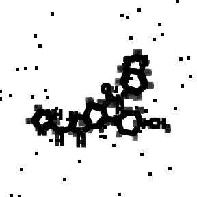 CN1CCN(c2cc3[nH]c(Nc4ncc[nH]4)nc3cc2C(=O)Nc2ccc3ncsc3c2)CC1